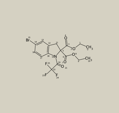 CCOC(=O)C1(C(=O)OCC)Cc2cc(Br)ccc2N1C(=O)C(F)(F)F